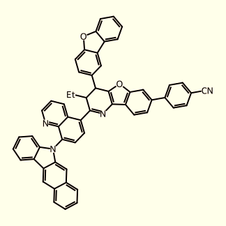 CCC1C(c2ccc(-n3c4ccccc4c4cc5ccccc5cc43)c3ncccc23)=Nc2c(oc3cc(-c4ccc(C#N)cc4)ccc23)C1c1ccc2oc3ccccc3c2c1